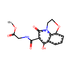 CC(C)(C)OC(=O)CNC(=O)c1c(O)c2cccc3c2n(c1=O)CCO3